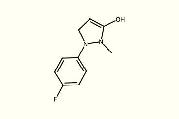 CN1C(O)=CCN1c1ccc(F)cc1